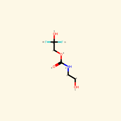 O=C(NCCO)OCC(O)(F)F